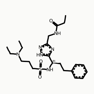 CCC(=O)NCc1n[nH]c([C@@H](CCc2ccccc2)NS(=O)(=O)CCCN(CC)CC)n1